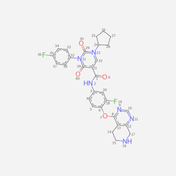 O=C(Nc1ccc(Oc2ncnc3c2CCNC3)c(F)c1)c1cn(C2CCCC2)c(=O)n(-c2ccc(F)cc2)c1=O